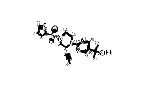 CC#C[C@@H]1CN(S(=O)(=O)c2cccs2)CCN1c1ncc(C(C)(C)O)cn1